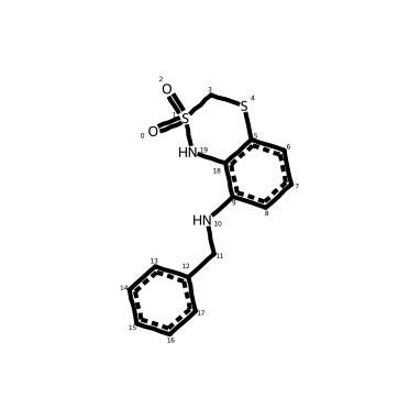 O=S1(=O)CSc2cccc(NCc3ccccc3)c2N1